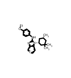 CCOc1ccc(Nc2nc3ccccc3n2[C@@H]2C[C@H](C)CC(C)(C)C2)cc1